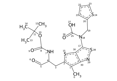 Cc1c(CC(C=O)NC(=O)OC(C)(C)C)sc2c(N(Cc3cccs3)C(=O)O)snc12